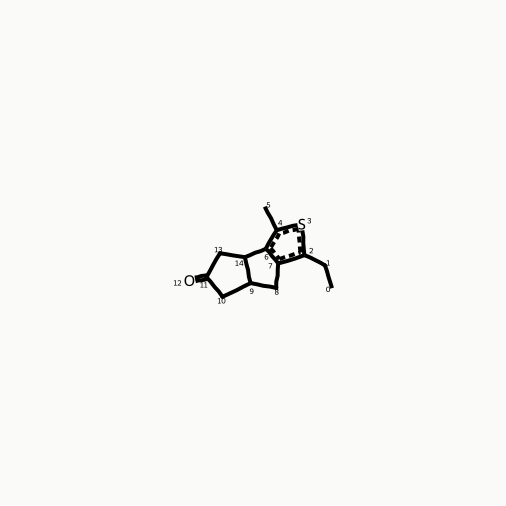 CCc1sc(C)c2c1CC1CC(=O)CC21